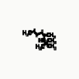 CCCCC(C)NC(C)(C)C